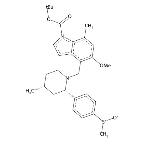 COc1cc(C)c2c(ccn2C(=O)OC(C)(C)C)c1CN1CC[C@@H](C)C[C@H]1c1ccc([S+](C)[O-])cc1